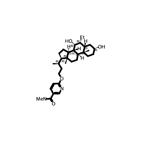 CC[C@H]1[C@@H](O)[C@@H]2[C@H](CC[C@]3(C)[C@@H]([C@H](C)CCOc4ccc(C(=O)NC)cn4)CC[C@@H]23)[C@@]2(C)CC[C@@H](O)C[C@@H]12